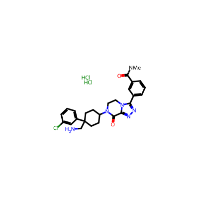 CNC(=O)c1cccc(-c2nnc3n2CCN(C2CCC(CN)(c4cccc(Cl)c4)CC2)C3=O)c1.Cl.Cl